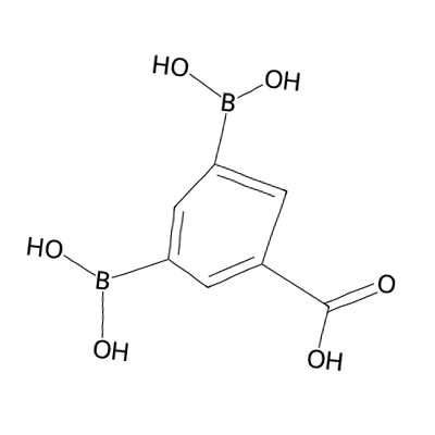 O=C(O)c1cc(B(O)O)cc(B(O)O)c1